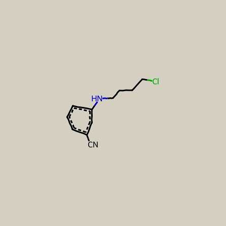 N#Cc1cccc(NCCCCCl)c1